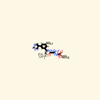 CCOC(=O)C[C@H](NC(=O)CNC(=O)OC(C)(C)C)c1cc(-c2cncnc2)cc(C(C)(C)C)c1